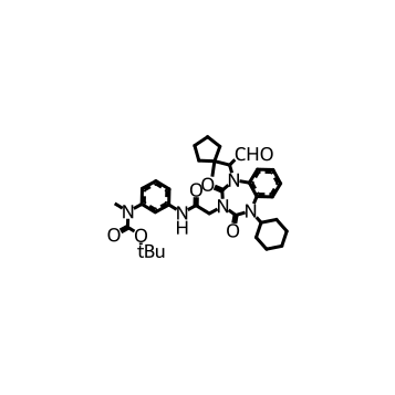 CN(C(=O)OC(C)(C)C)c1cccc(NC(=O)CN2C(=O)N(C3CCCCC3)c3ccccc3N(C(C=O)C3(C)CCCC3)C2=O)c1